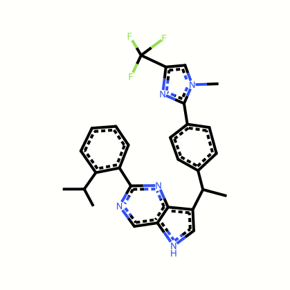 CC(C)c1ccccc1-c1ncc2[nH]cc(C(C)c3ccc(-c4nc(C(F)(F)F)cn4C)cc3)c2n1